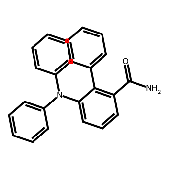 NC(=O)c1cccc(N(c2ccccc2)c2ccccc2)c1-c1ccccc1